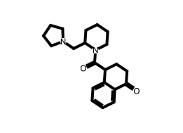 O=C1CCC(C(=O)N2CCCCC2CN2CCCC2)c2ccccc21